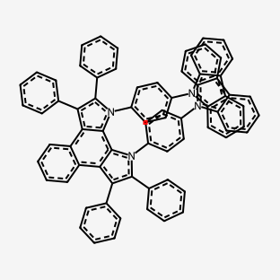 c1ccc(-c2c(-c3ccccc3)n(-c3ccc(-n4c5ccccc5c5ccccc54)cc3)c3c2c2ccccc2c2c(-c4ccccc4)c(-c4ccccc4)n(-c4ccc(-n5c6ccccc6c6ccccc65)cc4)c23)cc1